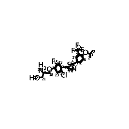 CC(C)Oc1ccc(-c2nnc(-c3cc(F)c(OC[C@H](N)CO)cc3Cl)s2)cc1C(F)(F)F